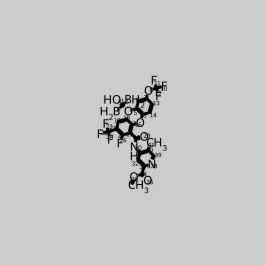 BC(B)(O)Oc1cc(OC(F)(F)F)ccc1Oc1ccc(C(F)(F)F)c(F)c1C(=O)Nc1cc(C(=O)OC)ncc1C